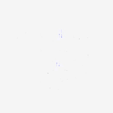 c1ccc2c(c1)cc1[nH]c3c4sc5ccccc5c4cc4c3c1c2c1cccc2c3ccccc3n4c21